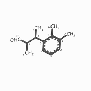 Cc1cccc(C(C)C(C)C=O)c1C